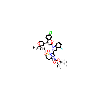 CC(C)(C)OC(=O)N1CC(CCc2c(F)cccc2NC(=O)C[C@@H](c2ccc(Cl)cc2)C2CCOC(C)(C)C2)N2C[C@H]1CCCS2(=O)=O